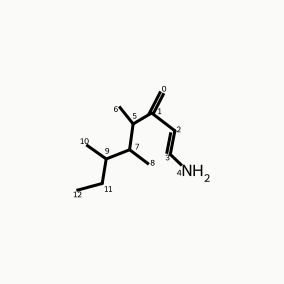 C=C(/C=C/N)C(C)C(C)C(C)CC